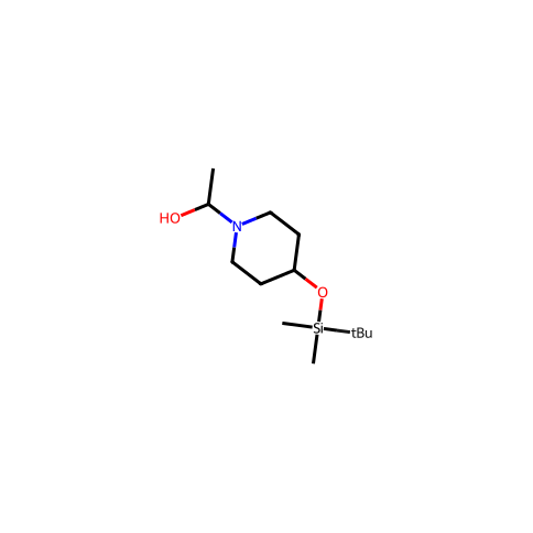 CC(O)N1CCC(O[Si](C)(C)C(C)(C)C)CC1